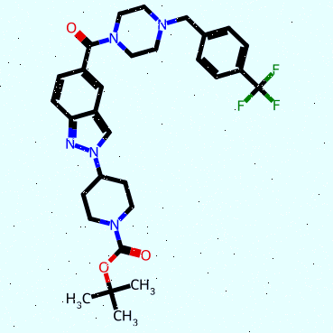 CC(C)(C)OC(=O)N1CCC(n2cc3cc(C(=O)N4CCN(Cc5ccc(C(F)(F)F)cc5)CC4)ccc3n2)CC1